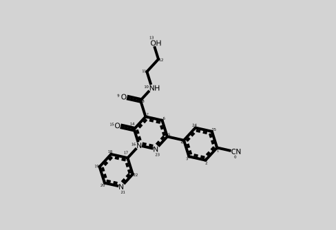 N#Cc1ccc(-c2cc(C(=O)NCCO)c(=O)n(-c3cccnc3)n2)cc1